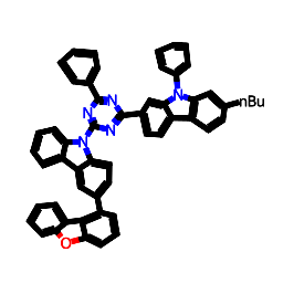 CCCCc1ccc2c3ccc(-c4nc(-c5ccccc5)nc(-n5c6ccccc6c6cc(-c7cccc8oc9ccccc9c78)ccc65)n4)cc3n(-c3ccccc3)c2c1